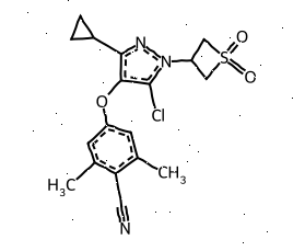 Cc1cc(Oc2c(C3CC3)nn(C3CS(=O)(=O)C3)c2Cl)cc(C)c1C#N